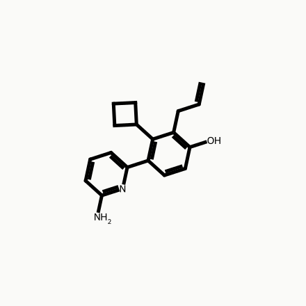 C=CCc1c(O)ccc(-c2cccc(N)n2)c1C1CCC1